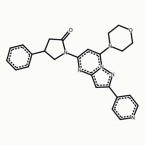 O=C1CC(c2ccccc2)CN1c1cc(N2CCOCC2)n2nc(-c3ccncc3)cc2n1